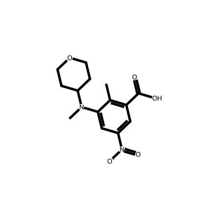 Cc1c(C(=O)O)cc([N+](=O)[O-])cc1N(C)C1CCOCC1